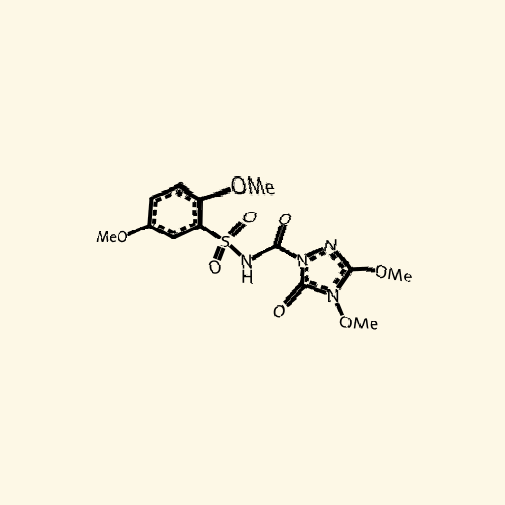 COc1ccc(OC)c(S(=O)(=O)NC(=O)n2nc(OC)n(OC)c2=O)c1